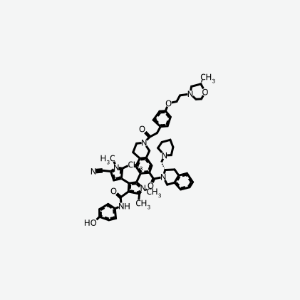 Cc1c(-c2c(C(=O)Nc3ccc(O)cc3)c(C)n(C)c2-c2cc3c(cc2C(=O)N2Cc4ccccc4C[C@H]2CN2CCCCC2)CN(C(=O)Cc2ccc(OCCN4CCO[C@@H](C)C4)cc2)CC3)cc(C#N)n1C